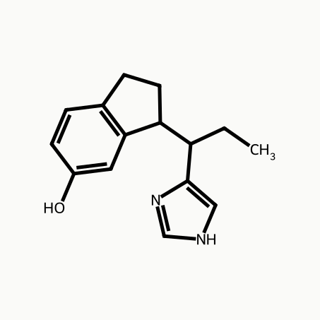 CCC(c1c[nH]cn1)C1CCc2ccc(O)cc21